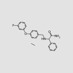 CC.NC(=O)C(NCc1ccc(Oc2cccc(F)c2)cc1)c1ccccc1